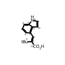 CC(C)(C)/C(=C\c1cccc2[nH]ccc12)C(=O)O